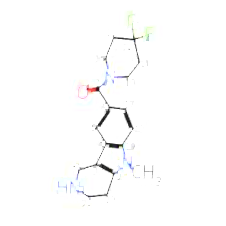 Cn1c2c(c3cc(C(=O)N4CCC(F)(F)CC4)ccc31)CNCC2